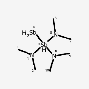 C[N](C)[SbH]([SbH2])([N](C)C)[N](C)C